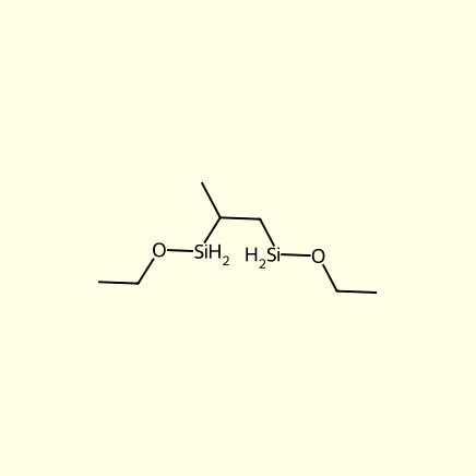 CCO[SiH2]CC(C)[SiH2]OCC